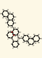 c1ccc(-c2ccccc2N(c2ccc(-c3ccc4c(ccc5ccccc54)c3)cc2)c2ccc3c(ccc4ccccc43)c2)cc1